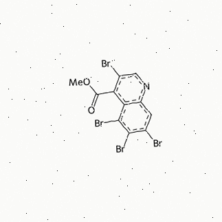 COC(=O)c1c(Br)cnc2cc(Br)c(Br)c(Br)c12